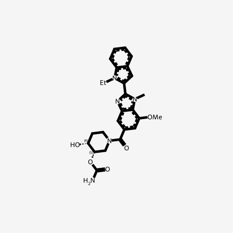 CCn1c(-c2nc3cc(C(=O)N4CC[C@@H](O)[C@@H](OC(N)=O)C4)cc(OC)c3n2C)cc2ccccc21